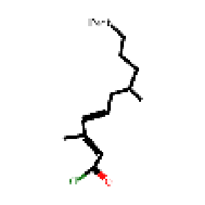 CCCC(C)CCCC(C)CC=CC(C)=CC(=O)Cl